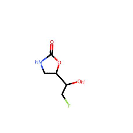 O=C1NCC(C(O)CF)O1